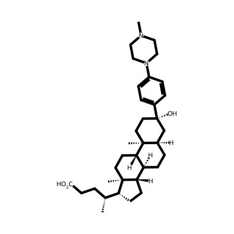 C[C@H](CCC(=O)O)[C@H]1CC[C@H]2[C@@H]3CC[C@@H]4C[C@](O)(c5ccc(N6CCN(C)CC6)cc5)CC[C@]4(C)[C@H]3CC[C@]12C